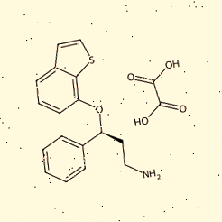 NCC[C@H](Oc1cccc2ccsc12)c1ccccc1.O=C(O)C(=O)O